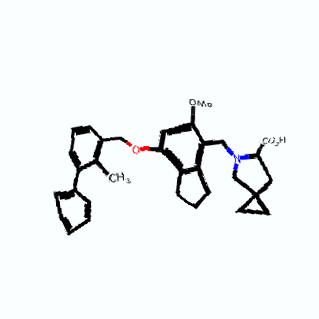 COc1cc(OCc2cccc(-c3ccccc3)c2C)c2c(c1CN1CC3(CC3)CC1C(=O)O)CCC2